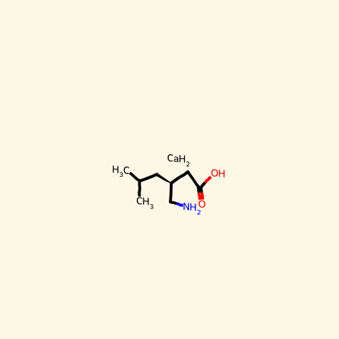 CC(C)C[C@H](CN)CC(=O)O.[CaH2]